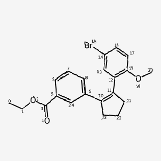 CCOC(=O)c1cccc(C2=C(c3cc(Br)ccc3OC)CCC2)c1